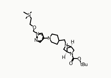 CC(C)(C)OC(=O)N1C[C@H]2C[C@@H]1CN2CC1CCN(c2cnn(COCC[Si](C)(C)C)c2)CC1